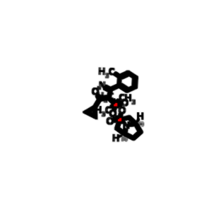 Cc1ccccc1-c1noc(C2CC2)c1C(=O)O[C@H]1C[C@H]2CC[C@@H](C1)N2C(=O)OC(C)(C)C